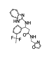 CC(F)(F)c1cccc(C(CC(=O)NCc2ncco2)Nc2nc3ccccc3[nH]2)c1